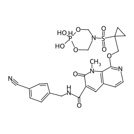 Cn1c(=O)c(C(=O)NCc2ccc(C#N)cc2)cc2ccnc(OCC3(S(=O)(=O)N4CO[PH](O)(O)OC4)CC3)c21